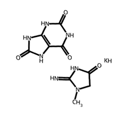 CN1CC(=O)NC1=N.O=c1[nH]c(=O)c2[nH]c(=O)[nH]c2[nH]1.[KH]